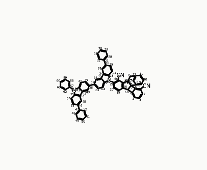 N#Cc1cccc2c1C13c4cccc(c4C#N)CC1c1c(ccc(-n4c5ccc(-c6ccccc6)cc5c5cc(-c6ccc7c(c6)c6cc(-c8ccccc8)ccc6n7-c6ccccc6)ccc54)c1C#N)C23